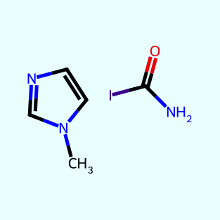 Cn1ccnc1.NC(=O)I